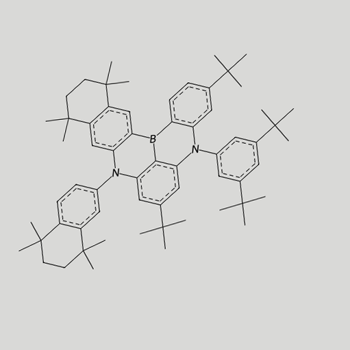 CC(C)(C)c1cc(N2c3cc(C(C)(C)C)ccc3B3c4cc5c(cc4N(c4ccc6c(c4)C(C)(C)CCC6(C)C)c4cc(C(C)(C)C)cc2c43)C(C)(C)CCC5(C)C)cc(C(C)(C)C)c1